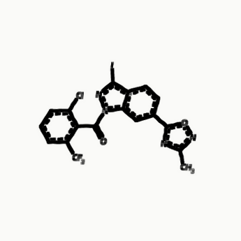 Cc1noc(-c2ccc3c(I)nn(C(=O)c4c(Cl)cccc4C(F)(F)F)c3c2)n1